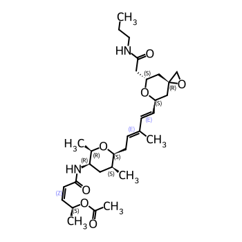 CCCNC(=O)C[C@@H]1C[C@]2(CO2)C[C@@H](/C=C/C(C)=C/C[C@@H]2O[C@H](C)[C@H](NC(=O)/C=C\[C@H](C)OC(C)=O)C[C@@H]2C)O1